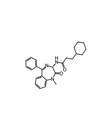 CN1C(=O)[C@H](NC(=O)CCC2CCCCC2)N=C(c2ccccc2)c2ccccc21